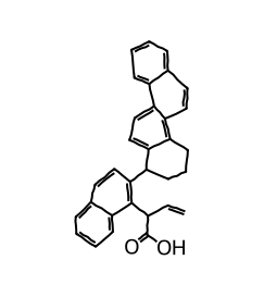 C=CC(C(=O)O)c1c(C2CCCc3c2ccc2c3ccc3ccccc32)ccc2ccccc12